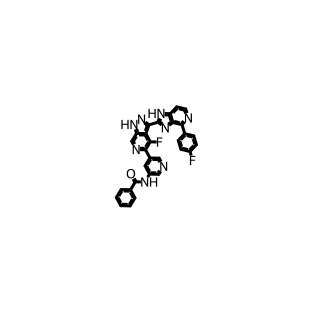 O=C(Nc1cncc(-c2ncc3[nH]nc(-c4nc5c(-c6ccc(F)cc6)nccc5[nH]4)c3c2F)c1)c1ccccc1